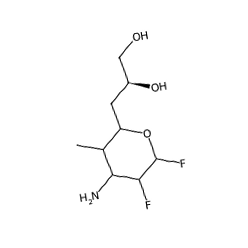 CC1C(C[C@H](O)CO)OC(F)C(F)C1N